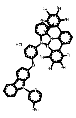 Cl.[2H]c1c([2H])c([2H])c(-c2cccc(-c3c([2H])c([2H])c([2H])c([2H])c3[2H])c2N2CN(c3cccc(Oc4ccc5c6ccccc6n(-c6cc(C(C)(C)C)ccn6)c5c4)c3)c3cccc(Br)c32)c([2H])c1[2H]